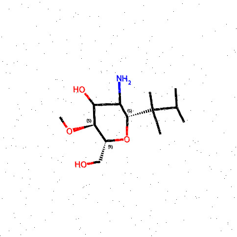 CO[C@H]1C(O)C(N)[C@H](C(C)(C)C(C)C)O[C@@H]1CO